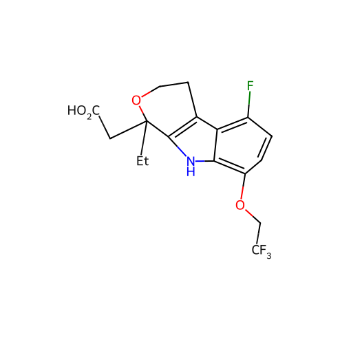 CCC1(CC(=O)O)OCCc2c1[nH]c1c(OCC(F)(F)F)ccc(F)c21